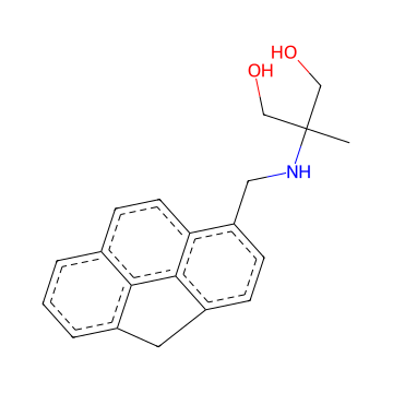 CC(CO)(CO)NCc1ccc2c3c1ccc1cccc(c13)C2